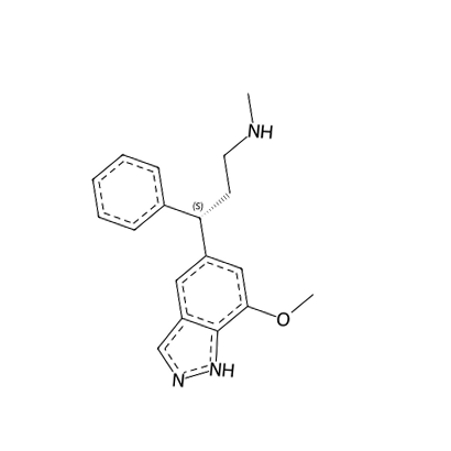 CNCC[C@@H](c1ccccc1)c1cc(OC)c2[nH]ncc2c1